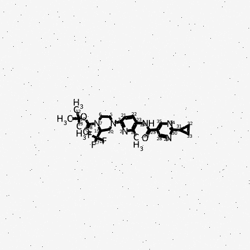 Cc1nc(N2CCN(C(=O)OC(C)(C)C)C(C(F)(F)F)C2)ccc1NC(=O)c1cnc(C2CC2)nc1